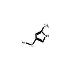 CC(=O)Oc1c[nH]c(C)c1